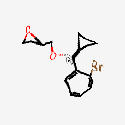 Brc1ccccc1[C@H](OCC1CO1)C1CC1